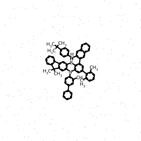 Cc1cc(-c2ccccc2)ccc1N1c2cc3c(cc2Bc2c(-c4cc5ccccc5cc4Nc4ccc(C(C)(C)C)cc4)cc(-c4c(C)cccc4C)cc21)-c1ccccc1C3(C)C